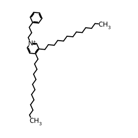 CCCCCCCCCCCCCc1cc[n+](CCCc2ccccc2)cc1CCCCCCCCCCCCC